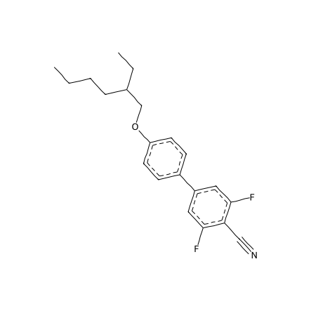 CCCCC(CC)COc1ccc(-c2cc(F)c(C#N)c(F)c2)cc1